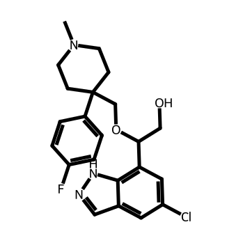 CN1CCC(COC(CO)c2cc(Cl)cc3cn[nH]c23)(c2ccc(F)cc2)CC1